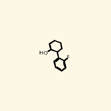 OC1CCCCC1c1ccccc1F